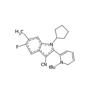 Cc1cc2c(cc1F)c(C#N)c(C1=CC=CCN1C(C)(C)C)n2C1CCCC1